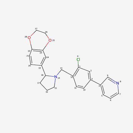 Clc1cc(-c2cccnc2)ccc1CN1CCCC1c1ccc2c(c1)OCCO2